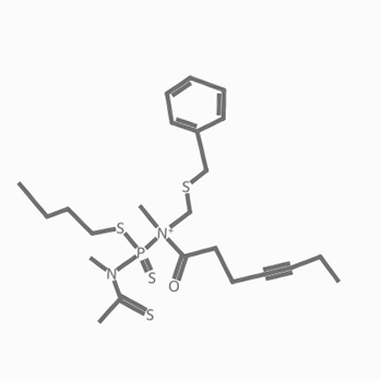 CCC#CCCC(=O)[N+](C)(CSCc1ccccc1)P(=S)(SCCCC)N(C)C(C)=S